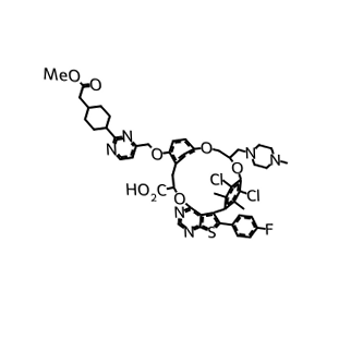 COC(=O)CC1CCC(c2nccc(COc3ccc4cc3CC(C(=O)O)Oc3ncnc5sc(-c6ccc(F)cc6)c(c35)-c3c(C)c(Cl)c(c(Cl)c3C)OC(CN3CCN(C)CC3)CO4)n2)CC1